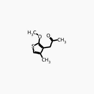 COc1scc(C)c1CC(C)=O